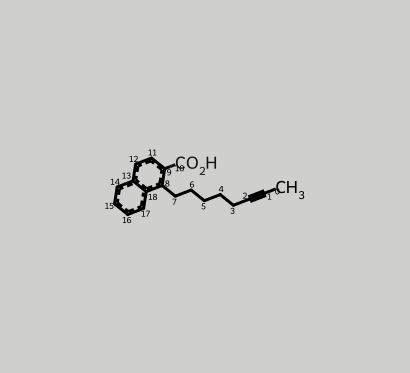 CC#CCCCCCc1c(C(=O)O)ccc2ccccc12